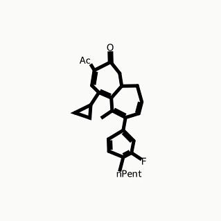 CCCCCc1ccc(C2=C(C)C3=C(C4CC4)C=C(C(C)=O)C(=O)CC3CC=C2)cc1F